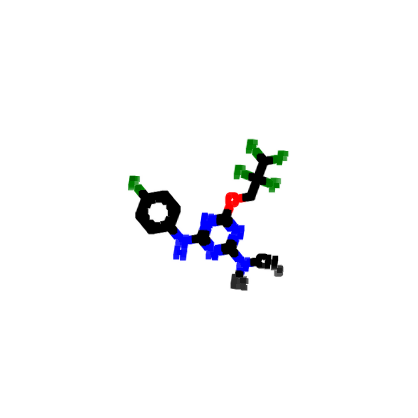 CCN(C)c1nc(Nc2ccc(F)cc2)nc(OCC(F)(F)C(F)F)n1